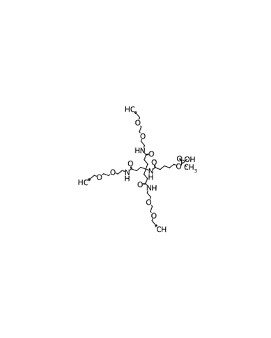 C#CCOCCOCCNC(=O)CCC(CCC(=O)NCCOCCOCC#C)(CCC(=O)NCCOCCOCC#C)NC(=O)CCCCOP(C)(=O)O